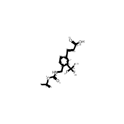 C=C(C)OC(=O)NCc1ccc(/C=C/C(=O)O)cc1C(F)(F)F